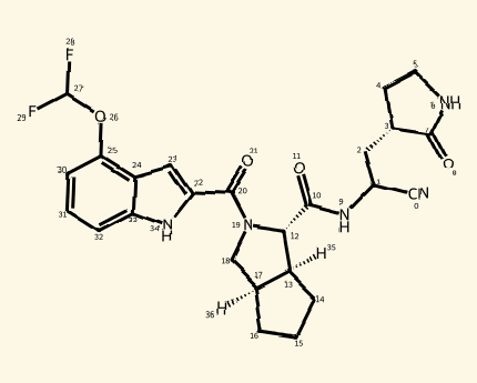 N#CC(C[C@@H]1CCNC1=O)NC(=O)[C@@H]1[C@H]2CCC[C@H]2CN1C(=O)c1cc2c(OC(F)F)cccc2[nH]1